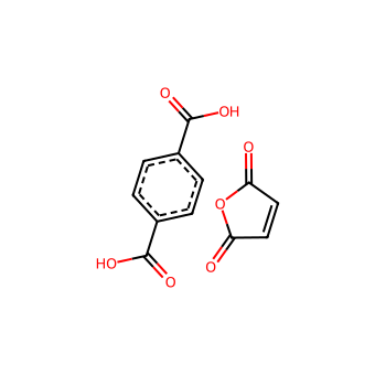 O=C(O)c1ccc(C(=O)O)cc1.O=C1C=CC(=O)O1